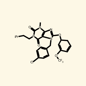 CC(C)CCn1c(=O)c2c(nc(OC3C=C(OC(F)(F)F)C=CC3)n2Cc2ccc(Cl)cc2)n(C)c1=O